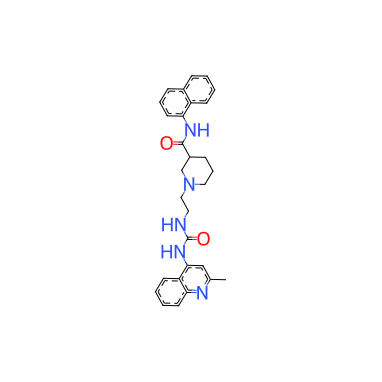 Cc1cc(NC(=O)NCCN2CCCC(C(=O)Nc3cccc4ccccc34)C2)c2ccccc2n1